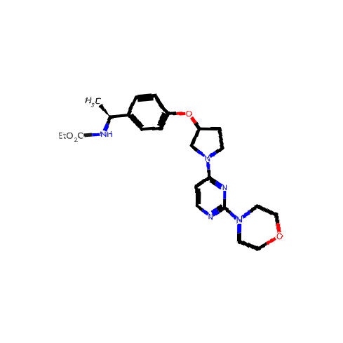 CCOC(=O)N[C@@H](C)c1ccc(OC2CCN(c3ccnc(N4CCOCC4)n3)C2)cc1